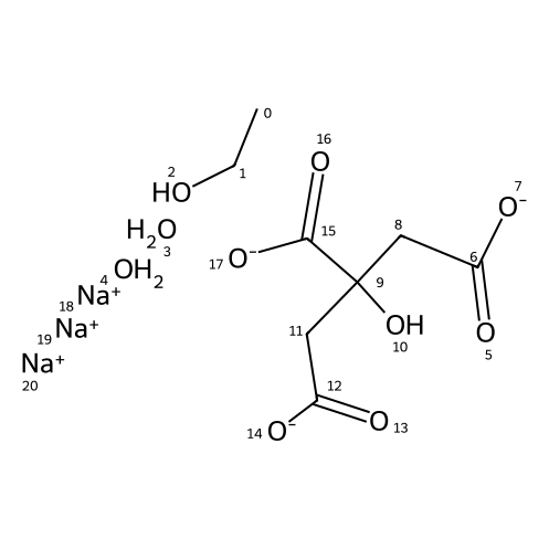 CCO.O.O.O=C([O-])CC(O)(CC(=O)[O-])C(=O)[O-].[Na+].[Na+].[Na+]